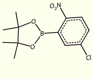 CC1(C)OB(c2cc(Cl)ccc2[N+](=O)[O-])OC1(C)C